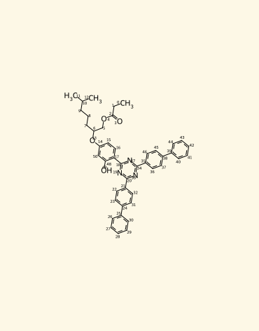 CCC(=O)OCC(CCCC(C)C)Oc1ccc(-c2nc(-c3ccc(-c4ccccc4)cc3)nc(-c3ccc(-c4ccccc4)cc3)n2)c(O)c1